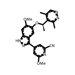 COc1cc(-c2n[nH]c3cc(OC)c(O[C@H](C)c4c(C)cnnc4C)cc23)cc(C#N)n1